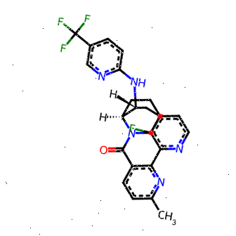 Cc1ccc(C(=O)N2CC3CC[C@H]2[C@H](Nc2ccc(C(F)(F)F)cn2)C3)c(-c2ncccc2F)n1